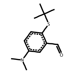 CN(C)c1ccc(SC(C)(C)C)c(C=O)c1